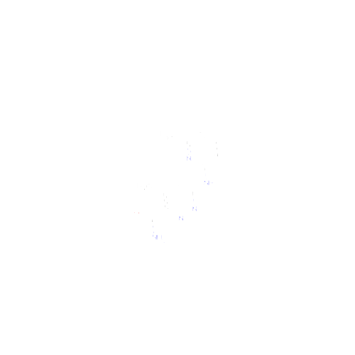 Cc1cccc(Nc2cc(C)c(C(N)=O)nn2)n1